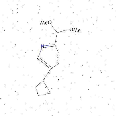 COC(OC)c1ccc(C2CCC2)cn1